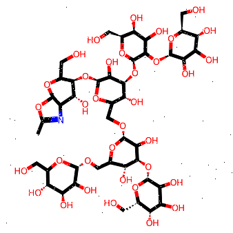 CC1=NC2C(O1)OC(CO)[C@@H](O[C@@H]1OC(CO[C@H]3OC(CO[C@H]4OC(CO)[C@@H](O)[C@H](O)C4O)[C@@H](O)[C@H](O[C@H]4O[C@@H](CO)[C@@H](O)C(O)C4O)C3O)[C@@H](O)[C@H](O[C@H]3O[C@@H](CO)[C@@H](O)C(O)C3O[C@H]3O[C@@H](CO)[C@@H](O)C(O)C3O)C1O)[C@@H]2O